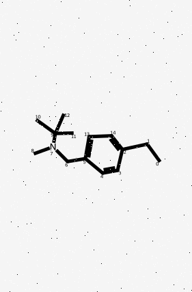 CCc1ccc(CN(C)C(C)(C)C)cc1